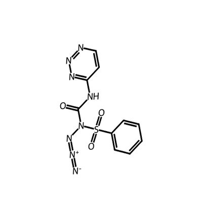 [N-]=[N+]=NN(C(=O)Nc1ccnnn1)S(=O)(=O)c1ccccc1